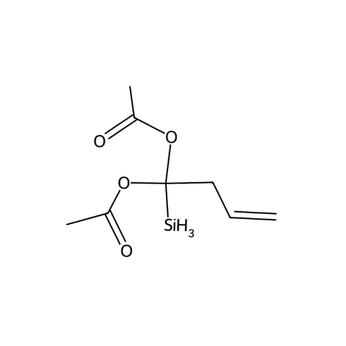 C=CCC([SiH3])(OC(C)=O)OC(C)=O